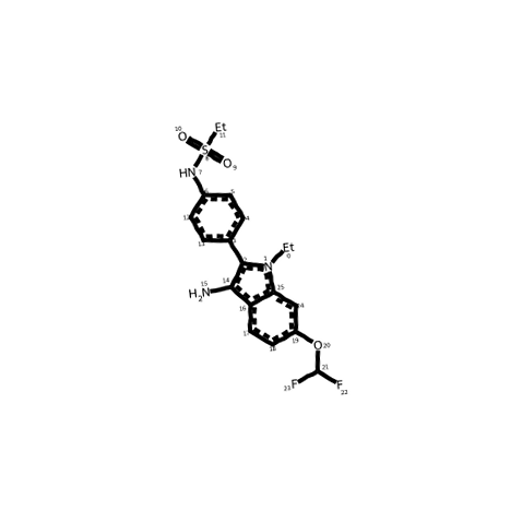 CCn1c(-c2ccc(NS(=O)(=O)CC)cc2)c(N)c2ccc(OC(F)F)cc21